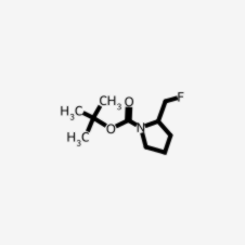 CC(C)(C)OC(=O)N1CCCC1CF